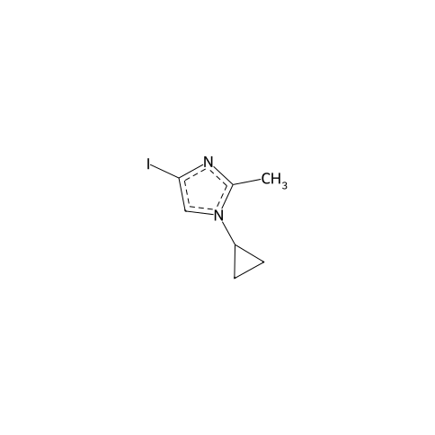 Cc1nc(I)cn1C1CC1